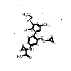 CCOc1cc(C)cc(-c2ccc(NC3(C(=O)O)CC3)cc2COC2CC2)c1F